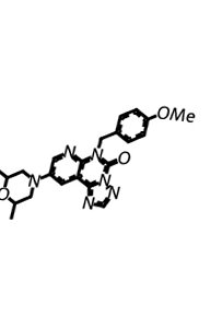 COc1ccc(Cn2c(=O)n3ncnc3c3cc(N4CC(C)OC(C)C4)cnc32)cc1